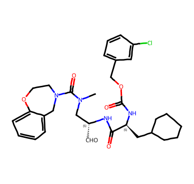 CN(C[C@@H](C=O)NC(=O)[C@H](CC1CCCCC1)NC(=O)OCc1cccc(Cl)c1)C(=O)N1CCOc2ccccc2C1